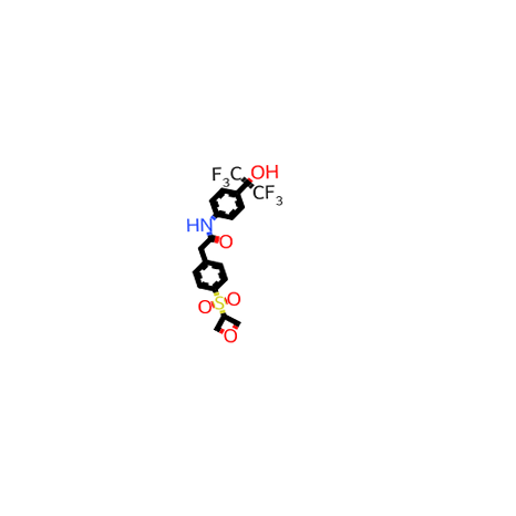 O=C(Cc1ccc(S(=O)(=O)C2COC2)cc1)Nc1ccc(C(O)(C(F)(F)F)C(F)(F)F)cc1